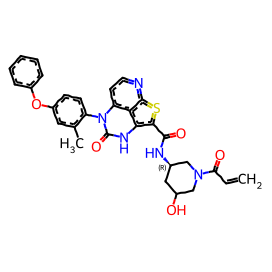 C=CC(=O)N1CC(O)C[C@@H](NC(=O)c2sc3nccc4c3c2NC(=O)N4c2ccc(Oc3ccccc3)cc2C)C1